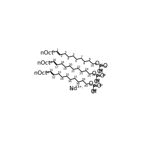 CCCCCCCCC=CCCCCCCCCO[PH](=O)[O-].CCCCCCCCC=CCCCCCCCCO[PH](=O)[O-].CCCCCCCCC=CCCCCCCCCO[PH](=O)[O-].[Nd+3]